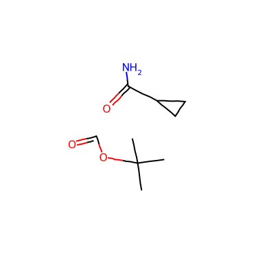 CC(C)(C)OC=O.NC(=O)C1CC1